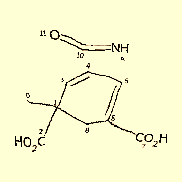 CC1(C(=O)O)C=CC=C(C(=O)O)C1.N=C=O